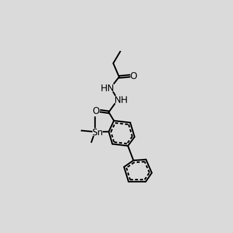 CCC(=O)NNC(=O)c1ccc(-c2ccccc2)c[c]1[Sn]([CH3])([CH3])[CH3]